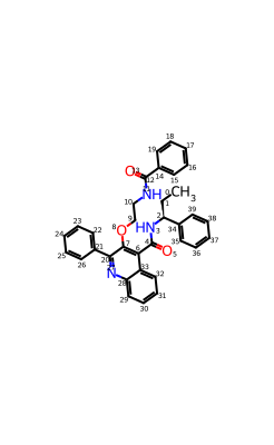 CC[C@H](NC(=O)c1c(OCCNC(=O)c2ccccc2)c(-c2ccccc2)nc2ccccc12)c1ccccc1